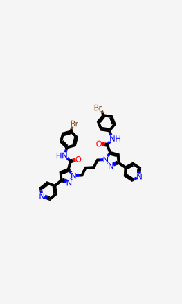 O=C(Nc1ccc(Br)cc1)c1cc(-c2ccncc2)nn1CCCCn1nc(-c2ccncc2)cc1C(=O)Nc1ccc(Br)cc1